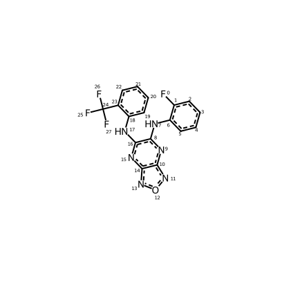 Fc1ccccc1Nc1nc2nonc2nc1Nc1ccccc1C(F)(F)F